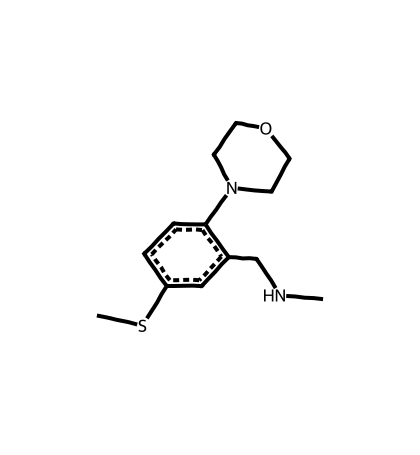 CNCc1cc(SC)ccc1N1CCOCC1